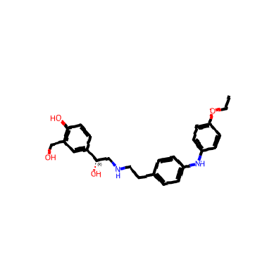 CCOc1ccc(Nc2ccc(CCNC[C@H](O)c3ccc(O)c(CO)c3)cc2)cc1